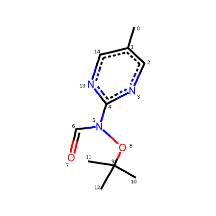 Cc1cnc(N(C=O)OC(C)(C)C)nc1